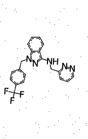 FC(F)(F)c1ccc(Cn2nc(NCc3cccnn3)c3ccccc32)cc1